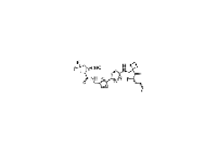 C=C(/C(F)=C\C=C/C)C1(CNc2ccc(-c3ncc(CNC(=O)C4CC(F)(F)CN4C=O)s3)nn2)CCC1